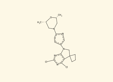 C[C@@H]1CN(c2ccc(N3CC4(CCC4)c4c(Cl)nc(Cl)nc43)cn2)C[C@H](C)O1